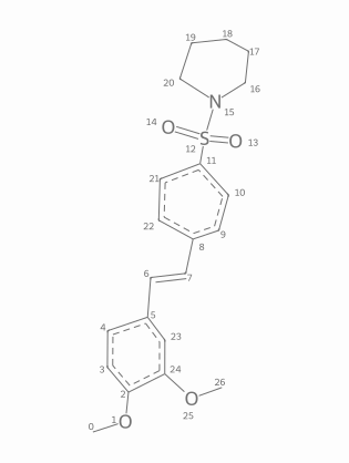 COc1ccc(C=Cc2ccc(S(=O)(=O)N3CCCCC3)cc2)cc1OC